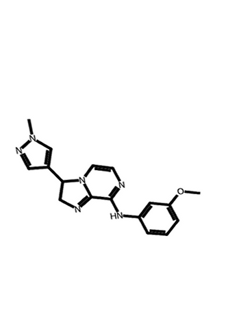 COc1cccc(NC2=NC=CN3C2=NCC3c2cnn(C)c2)c1